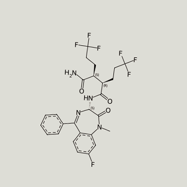 CN1C(=O)[C@@H](NC(=O)[C@H](CCC(F)(F)F)[C@H](CCC(F)(F)F)C(N)=O)N=C(c2ccccc2)c2ccc(F)cc21